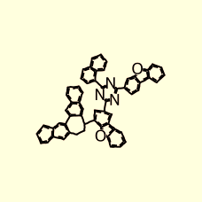 c1ccc2cc3c(cc2c1)CCC(c1cc(-c2nc(-c4ccc5c(c4)oc4ccccc45)nc(-c4cccc5ccccc45)n2)cc2c1oc1ccccc12)c1cc2ccccc2cc1-3